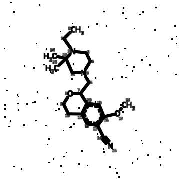 CCN1CCN(CC2OCCc3cc(C#N)c(OC)cc32)CC1(C)C